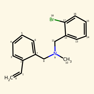 C=Cc1ccccc1CN(C)Cc1ccccc1Br